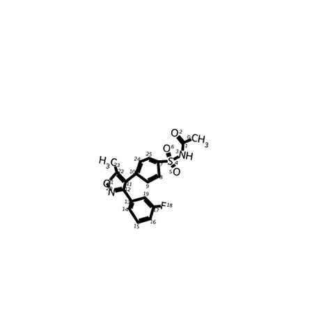 CC(=O)NS(=O)(=O)c1ccc(-c2c(-c3cccc(F)c3)noc2C)cc1